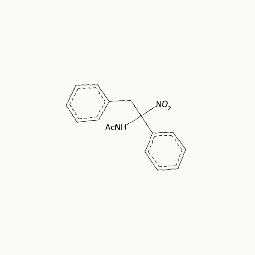 CC(=O)NC(Cc1ccccc1)(c1ccccc1)[N+](=O)[O-]